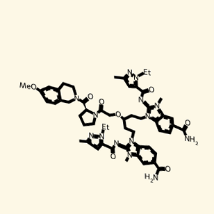 CCn1nc(C)cc1C(=O)N=c1n(C)c2cc(C(N)=O)ccc2n1CCC(CCn1c(=NC(=O)c2cc(C)nn2CC)n(C)c2cc(C(N)=O)ccc21)OCC(=O)N1CCC[C@H]1C(=O)N1CCc2cc(OC)ccc2C1